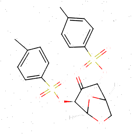 Cc1ccc(S(=O)(=O)O[C@H]2C(=O)[C@H](OS(=O)(=O)c3ccc(C)cc3)[C@H]3CO[C@@H]2O3)cc1